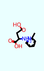 Cc1ccccn1.NC(CC(=O)O)C(=O)O